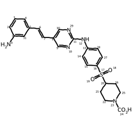 Nc1cccc(/C=C/c2cnc(Nc3ccc(S(=O)(=O)C4CCN(C(=O)O)CC4)cc3)nc2)c1